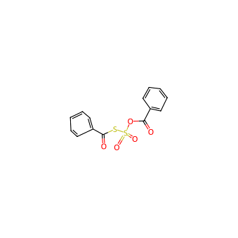 O=C(OS(=O)(=O)SC(=O)c1ccccc1)c1ccccc1